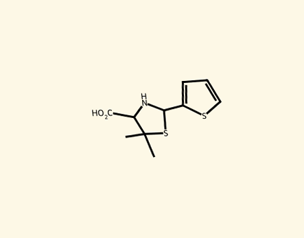 CC1(C)SC(c2cccs2)NC1C(=O)O